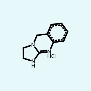 Cl.c1ccc2c(c1)CN1CCNC1=N2